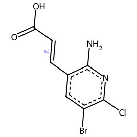 Nc1nc(Cl)c(Br)cc1/C=C/C(=O)O